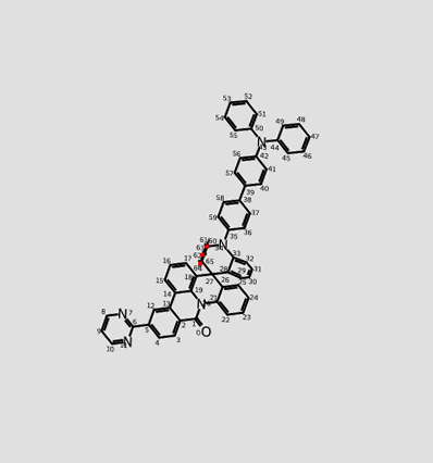 O=c1c2ccc(-c3ncccn3)cc2c2cccc3c2n1-c1ccccc1C31c2ccccc2N(c2ccc(-c3ccc(N(c4ccccc4)c4ccccc4)cc3)cc2)c2ccccc21